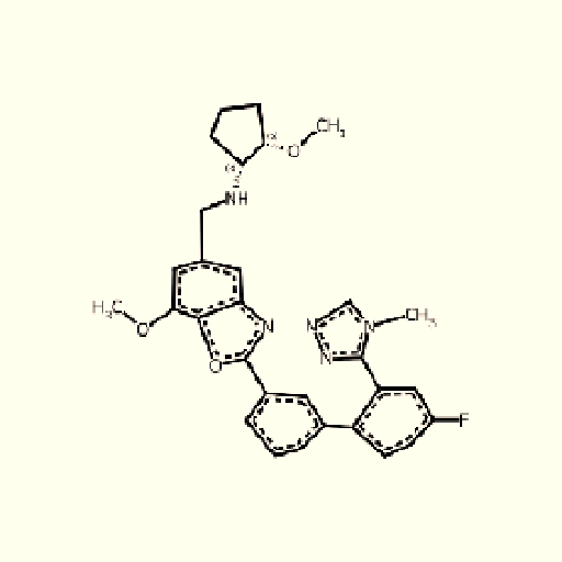 COc1cc(CN[C@@H]2CCC[C@@H]2OC)cc2nc(-c3cccc(-c4ccc(F)cc4-c4nncn4C)c3)oc12